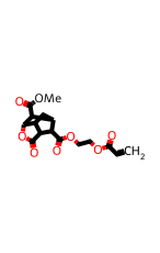 C=CC(=O)OCCOC(=O)C1C2CC3C(OC(=O)C31)C2C(=O)OC